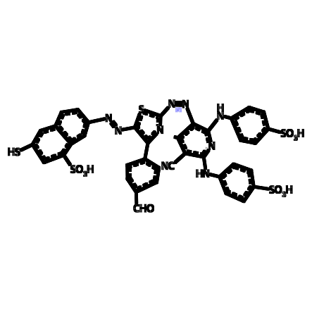 Cc1c(C#N)c(Nc2ccc(S(=O)(=O)O)cc2)nc(Nc2ccc(S(=O)(=O)O)cc2)c1/N=N\c1nc(-c2ccc(C=O)cc2)c(N=Nc2ccc3cc(S)cc(S(=O)(=O)O)c3c2)s1